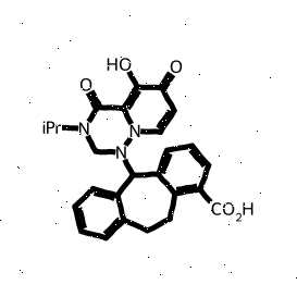 CC(C)N1CN(C2c3ccccc3CCc3c(C(=O)O)cccc32)n2ccc(=O)c(O)c2C1=O